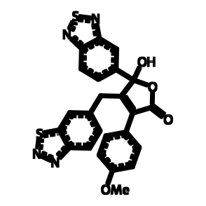 COc1ccc(C2=C(Cc3ccc4nnsc4c3)C(O)(c3ccc4nsnc4c3)OC2=O)cc1